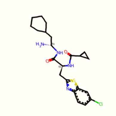 N[C@H](CC1CCCCC1)NC(=O)[C@H](Cc1nc2ccc(Cl)cc2s1)NC(=O)C1CC1